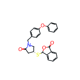 O=C1OC(S[C@@H]2CC(=O)N(Cc3ccc(Oc4ccccc4)cc3)C2)c2ccccc21